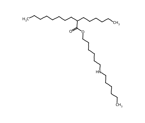 CCCCCCCCC(CCCCCC)C(=O)OCCCCCCNCCCCCC